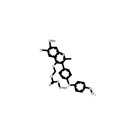 CCCCCCCOC(=O)OCOc1c(-c2ccc(Oc3ccc(OC(F)(F)F)cc3)cc2)c(C)nc2cc(OC)c(Cl)cc12